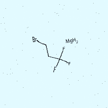 FC(F)(F)CCBr.[MgH2]